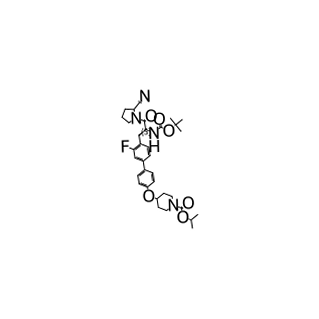 CC(C)OC(=O)N1CCC(Oc2ccc(-c3ccc(C[C@H](NC(=O)OC(C)(C)C)C(=O)N4CCCC4C#N)c(F)c3)cc2)CC1